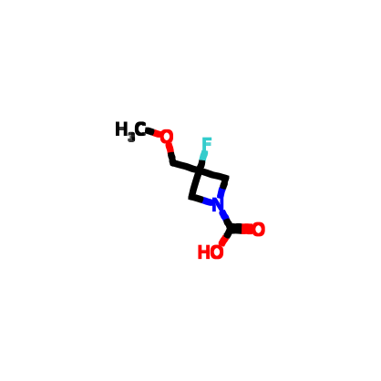 COCC1(F)CN(C(=O)O)C1